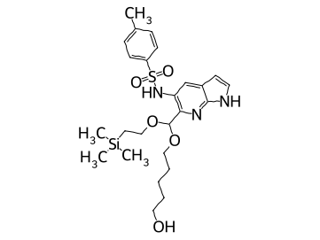 Cc1ccc(S(=O)(=O)Nc2cc3cc[nH]c3nc2C(OCCCCCO)OCC[Si](C)(C)C)cc1